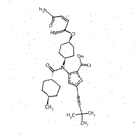 CC(C)(C)C#Cc1cc(N(C(=O)[C@H]2CC[C@H](C)CC2)[C@H]2CC[C@@H](OC(=N)/C=C\C(N)=O)CC2)c(C(=O)O)s1